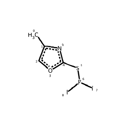 Cc1coc(SP(I)I)n1